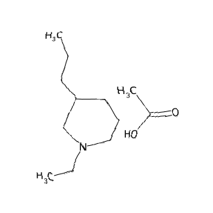 CC(=O)O.CCCC1CCCN(CC)C1